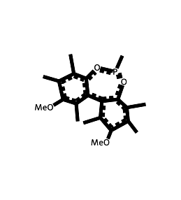 COc1c(C)c(C)c2op(C)oc3c(C)c(C)c(OC)c(C)c3c2c1C